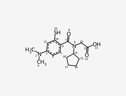 CN(C)c1ccc(C(=O)N(CC(=O)O)C2CCCC2)c(S)c1